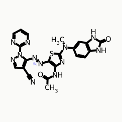 CC(=O)Nc1nc(N(C)c2ccc3[nH]c(=O)[nH]c3c2)sc1/N=N/c1c(C#N)cnn1-c1ncccn1